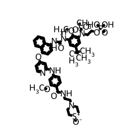 COc1cc(Nc2cc(Oc3ccc(NC(=O)Nc4cc(C(C)(C)C)cc(N(CCOP(=O)(O)O)S(C)(=O)=O)c4OC)c4ccccc34)ccn2)ccc1C(=O)NCCN1CC[S+]([O-])CC1